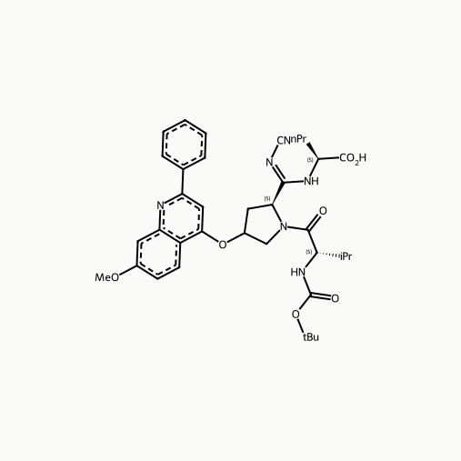 CCC[C@H](NC(=NC#N)[C@@H]1CC(Oc2cc(-c3ccccc3)nc3cc(OC)ccc23)CN1C(=O)[C@@H](NC(=O)OC(C)(C)C)C(C)C)C(=O)O